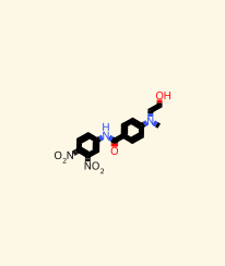 CN(CCO)c1ccc(C(=O)Nc2ccc([N+](=O)[O-])c([N+](=O)[O-])c2)cc1